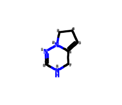 C1=NN2CCC=C2CN1